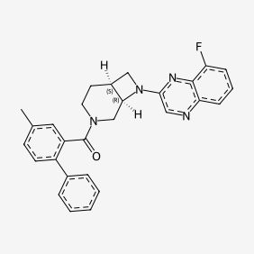 Cc1ccc(-c2ccccc2)c(C(=O)N2CC[C@H]3CN(c4cnc5cccc(F)c5n4)[C@H]3C2)c1